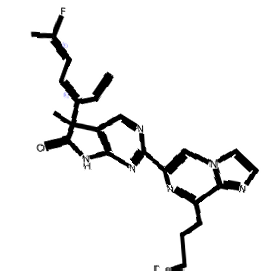 C=C/C(=C\C=C(/C)F)C1(C)C(=O)Nc2nc(-c3cn4ccnc4c(CCCC(F)(F)F)n3)ncc21